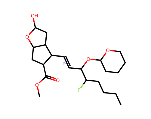 CCCCC(F)C(/C=C/C1C(C(=O)OC)CC2OC(O)CC21)OC1CCCCO1